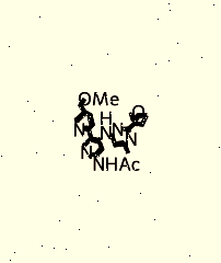 COCc1ccc(-c2cnc(NC(C)=O)cc2Nc2cc(C)nc(C34COC(C3)C4)n2)nc1